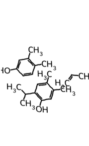 C=CC.Cc1cc(O)c(C(C)C)cc1C.Cc1ccc(O)cc1C